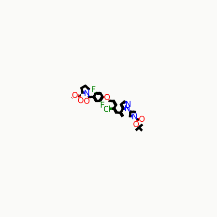 C=C(/C=C(Cl)\C=C/COc1cc(F)c(C(=O)N2CCC[C@H]2C(=O)OC)cc1F)c1ccnn1C1CN(C(=O)OC(C)(C)C)C1